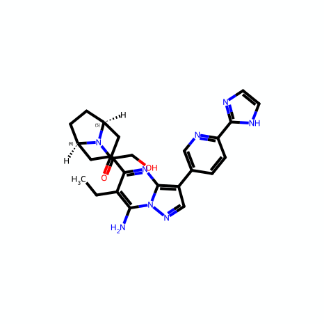 CCc1c(C2C[C@H]3CC[C@@H](C2)N3C(=O)CO)nc2c(-c3ccc(-c4ncc[nH]4)nc3)cnn2c1N